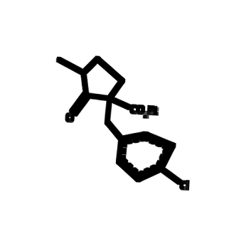 CCOC(=O)C1(Cc2ccc(Cl)cc2)CCC(C)C1=O